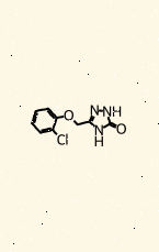 O=c1[nH]nc(COc2ccccc2Cl)[nH]1